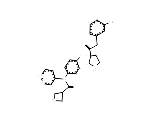 O=C(C1CNC1)N(c1ccc(O[C@]2(C(=O)Cc3cccc(C(F)(F)F)c3)CCNC2)cc1)c1ccnnc1